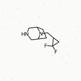 FC1(F)CC1CN1C2CCC1CNC2